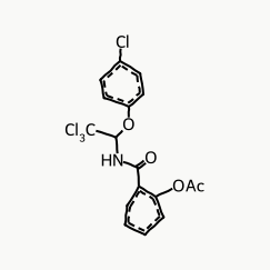 CC(=O)Oc1ccccc1C(=O)NC(Oc1ccc(Cl)cc1)C(Cl)(Cl)Cl